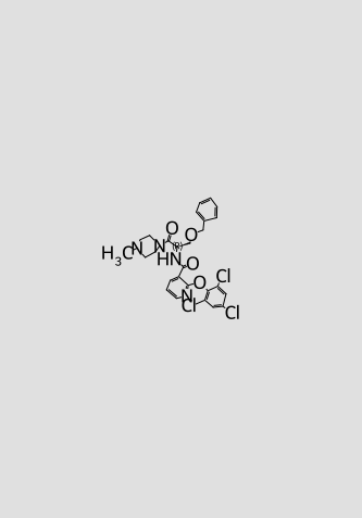 CN1CCN(C(=O)[C@@H](COCc2ccccc2)NC(=O)c2cccnc2Oc2c(Cl)cc(Cl)cc2Cl)CC1